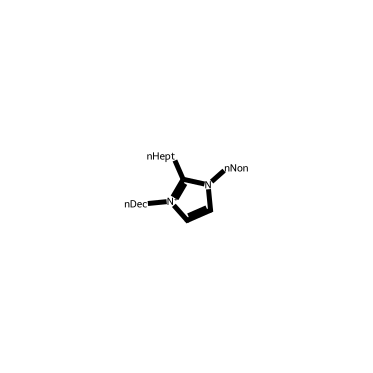 CCCCCCCCCC[n+]1ccn(CCCCCCCCC)c1CCCCCCC